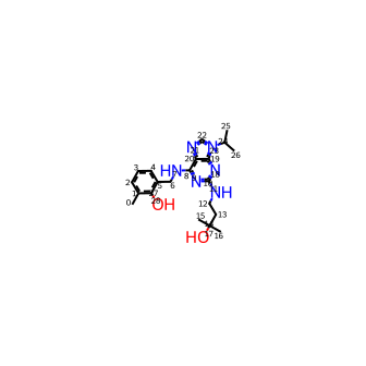 Cc1cccc(CNc2nc(NCCC(C)(C)O)nc3c2ncn3C(C)C)c1O